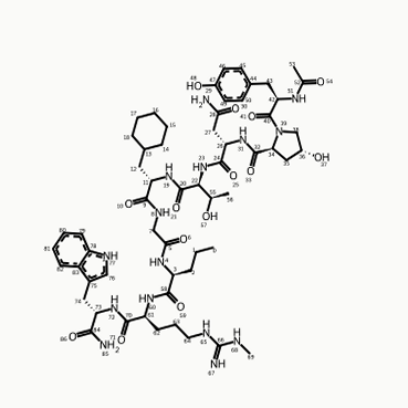 CCC[C@H](NC(=O)CNC(=O)[C@H](CC1CCCCC1)NC(=O)[C@@H](NC(=O)[C@H](CC(N)=O)NC(=O)[C@@H]1C[C@@H](O)CN1C(=O)[C@@H](Cc1ccc(O)cc1)NC(C)=O)[C@@H](C)O)C(=O)N[C@@H](CCCNC(=N)NC)C(=O)N[C@@H](Cc1c[nH]c2ccccc12)C(N)=O